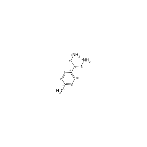 Cc1ccc(C(CN)CN)cc1